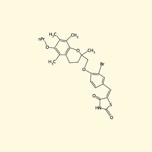 CCCOc1c(C)c(C)c2c(c1C)CCC(C)(COc1ccc(/C=C3/SC(=O)NC3=O)cc1Br)O2